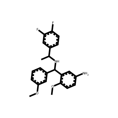 COc1cccc(C(NC(C)c2ccc(F)c(F)c2)c2cc(N)ccc2OC)c1